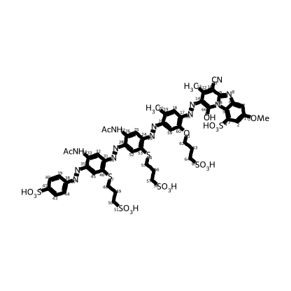 COc1cc(S(=O)(=O)O)c2c(c1)nc1c(C#N)c(C)c(N=Nc3cc(C)c(N=Nc4cc(NC(C)=O)c(N=Nc5cc(NC(C)=O)c(N=Nc6ccc(S(=O)(=O)O)cc6)cc5SCCCS(=O)(=O)O)cc4SCCCS(=O)(=O)O)cc3OCCCS(=O)(=O)O)c(O)n12